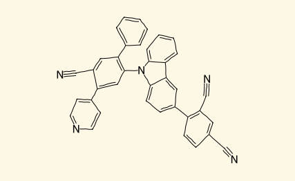 N#Cc1ccc(-c2ccc3c(c2)c2ccccc2n3-c2cc(-c3ccncc3)c(C#N)cc2-c2ccccc2)c(C#N)c1